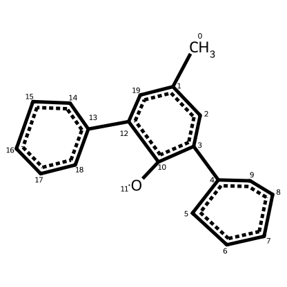 Cc1cc(-c2ccccc2)c([O])c(-c2ccccc2)c1